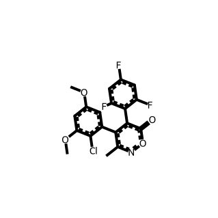 COc1cc(OC)c(Cl)c(-c2c(C)noc(=O)c2-c2c(F)cc(F)cc2F)c1